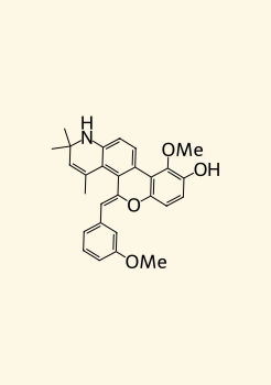 COc1cccc(/C=C2\Oc3ccc(O)c(OC)c3-c3ccc4c(c32)C(C)=CC(C)(C)N4)c1